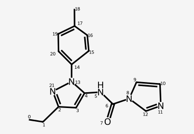 CCc1cc(NC(=O)n2ccnc2)n(-c2ccc(C)cc2)n1